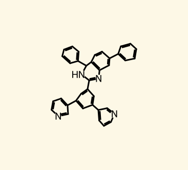 c1ccc(-c2ccc3c(c2)N=C(c2cc(-c4cccnc4)cc(-c4cccnc4)c2)NC3c2ccccc2)cc1